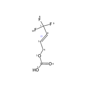 O=C(O)OC/C=C/C(F)(F)F